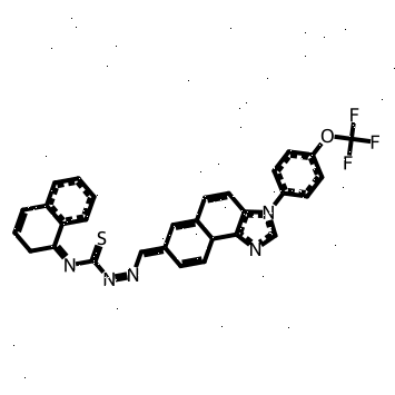 FC(F)(F)Oc1ccc(-n2cnc3c2C=CC2=C/C(=C/N=N\C(=S)/N=C4/CC=Cc5ccccc54)C=CC23)cc1